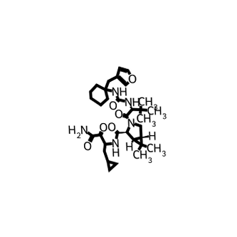 CC(C)(C)[C@H](NC(=O)NC1(Cc2ccoc2)CCCCC1)C(=O)N1C[C@H]2[C@@H]([C@H]1C(=O)NC(CC1CC1)C(=O)C(N)=O)C2(C)C